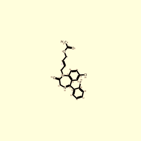 CC(=O)OC/C=C/CN1C(=O)CN=C(c2ccccc2F)c2cc(Cl)ccc21